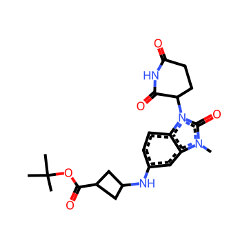 Cn1c(=O)n(C2CCC(=O)NC2=O)c2ccc(NC3CC(C(=O)OC(C)(C)C)C3)cc21